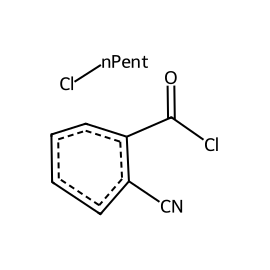 CCCCCCl.N#Cc1ccccc1C(=O)Cl